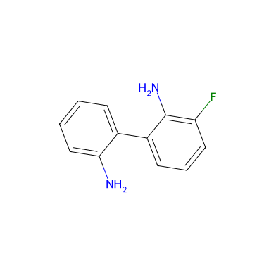 Nc1ccccc1-c1cccc(F)c1N